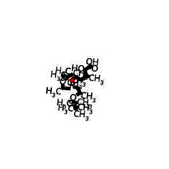 CC(CN(CCCC(C)C(O)C(=O)O)CC(C)O[Si](C)(C)C(C)(C)C)O[Si](C)(C)C(C)(C)C